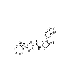 O=C(Nc1ccc(Cl)c(-c2ccc3cc[nH]c3n2)c1)c1ccc(N2CCCCCS2(=O)=O)cc1